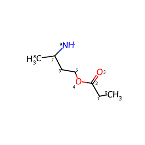 CCC(=O)OCCC(C)[NH]